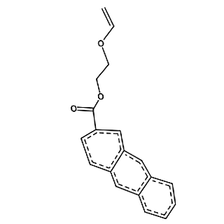 C=COCCOC(=O)c1ccc2cc3ccccc3cc2c1